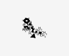 CC(C)(C)OC(=O)N(CCCSc1nc2ccccc2n1C(C(=O)O)C(C)(C)C)C1CC1